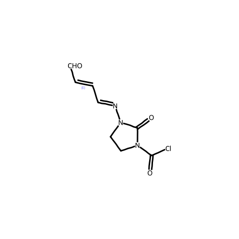 O=C/C=C/C=NN1CCN(C(=O)Cl)C1=O